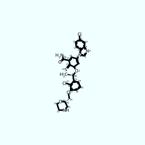 C[C@@H](OC1C=C(n2cnc3cc(Cl)ccc32)C=C(C(N)=O)C1=S)c1cccc(OC[C@@H]2CNCCO2)c1Cl